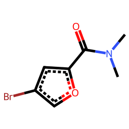 CN(C)C(=O)c1cc(Br)co1